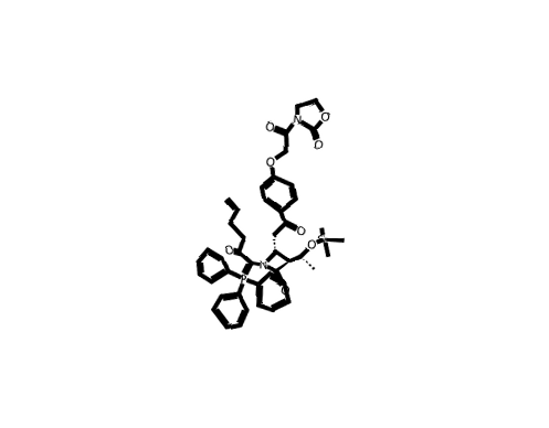 C=CCCC(=O)C(N1C(=O)[C@H]([C@@H](C)O[Si](C)(C)C)[C@H]1CC(=O)c1ccc(OCC(=O)N2CCOC2=O)cc1)=P(c1ccccc1)(c1ccccc1)c1ccccc1